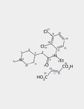 CCN(C(=O)CC1CCN(C)CC1)c1cccc(Cl)c1Cl.O=C(O)/C=C/C(=O)O